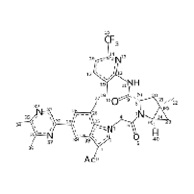 CC(=O)c1cn(CC(=O)N2[C@H](C(=O)Nc3nc(C(F)(F)F)ccc3C)C[C@@]3(C)C[C@@H]23)c2c(C)cc(-c3cnc(C)c(C)n3)cc12